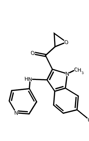 Cn1c(C(=O)C2CO2)c(Nc2ccncc2)c2ccc(Cl)cc21